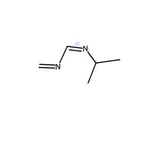 C=N/C=N\C(C)C